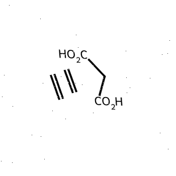 C=C.C=C.O=C(O)CC(=O)O